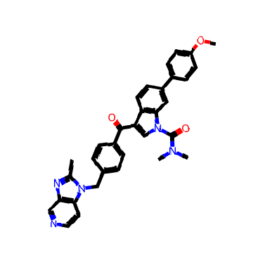 COc1ccc(-c2ccc3c(C(=O)c4ccc(Cn5c(C)nc6cnccc65)cc4)cn(C(=O)N(C)C)c3c2)cc1